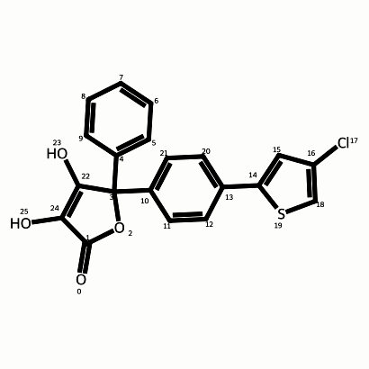 O=C1OC(c2ccccc2)(c2ccc(-c3cc(Cl)cs3)cc2)C(O)=C1O